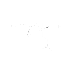 C=C(C)OC[C@@H](NC(=O)OC(C)(C)C)C(=O)O